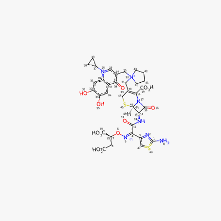 Nc1nc(/C(=N/O[C@@H](CC(=O)O)C(=O)O)C(=O)N[C@@H]2C(=O)N3C(C(=O)O)=C(C[N+]4(Cc5cn(C6CC6)c6cc(O)c(O)cc6c5=O)CCCC4)CS[C@H]23)cs1